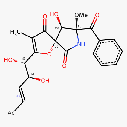 CO[C@@]1(C(=O)c2ccccc2)NC(=O)[C@]2(OC([C@@H](O)[C@@H](O)/C=C/C(C)=O)=C(C)C2=O)[C@H]1O